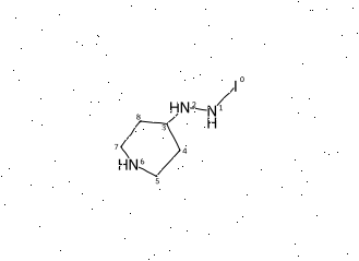 INNC1CCNCC1